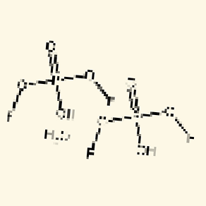 O.O=P(O)(OF)OF.O=P(O)(OF)OF